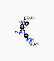 CCCCCCCCOC(=O)NC(=N)c1ccc(NCc2nc3cc(C(=O)N(CCC(=O)OCC)c4ccccc4)ccc3n2C)cc1